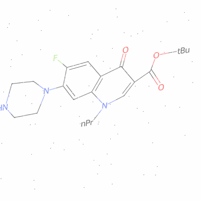 CCCn1cc(C(=O)OC(C)(C)C)c(=O)c2cc(F)c(N3CCNCC3)cc21